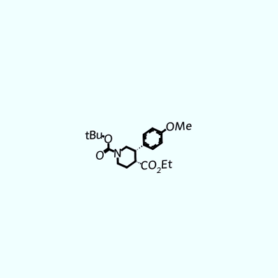 CCOC(=O)[C@@H]1CCN(C(=O)OC(C)(C)C)C[C@@H]1c1ccc(OC)cc1